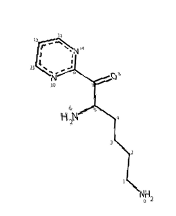 NCCCCC(N)C(=O)c1ncccn1